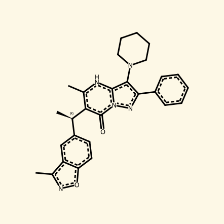 Cc1[nH]c2c(N3CCCCC3)c(-c3ccccc3)nn2c(=O)c1[C@H](C)c1ccc2onc(C)c2c1